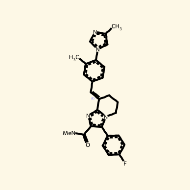 CNC(=O)c1nc2n(c1-c1ccc(F)cc1)CCC/C2=C\c1ccc(-n2cnc(C)c2)c(C)c1